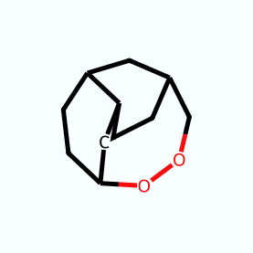 C1CC2CC3CCC2CC1COO3